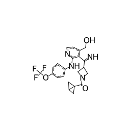 N=C(c1c(CO)ccnc1Nc1ccc(OC(F)(F)F)cc1)C1CN(C(=O)C23CC2C3)C1